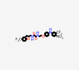 O=C(NCCOc1ccc(Nc2ccc([N+](=O)[O-])c(C(F)(F)F)c2)cc1)C(=O)NCC1Cc2cc(C(F)(F)F)ccc2O1